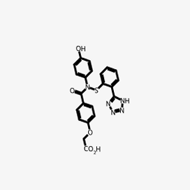 O=C(O)COc1ccc(C(=O)N(Sc2ccccc2-c2nnn[nH]2)c2ccc(O)cc2)cc1